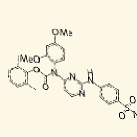 COc1ccc(N(C(=O)Oc2c(C)cccc2C)c2ccnc(Nc3ccc(S(N)(=O)=O)cc3)n2)c(OC)c1